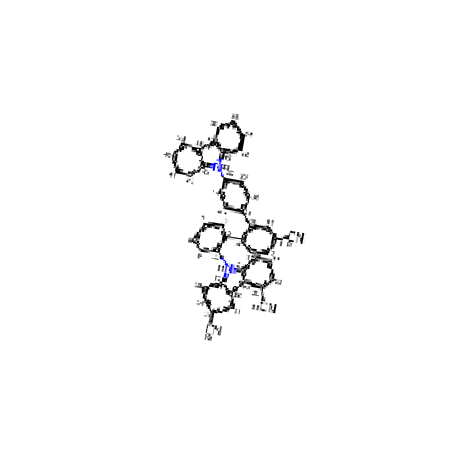 N#Cc1ccc(-c2ccccc2-n2c3ccc(C#N)cc3c3c(C#N)cccc32)c(-c2ccc(-n3c4ccccc4c4ccccc43)cc2)c1